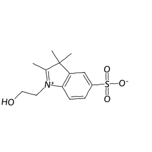 CC1=[N+](CCO)c2ccc(S(=O)(=O)[O-])cc2C1(C)C